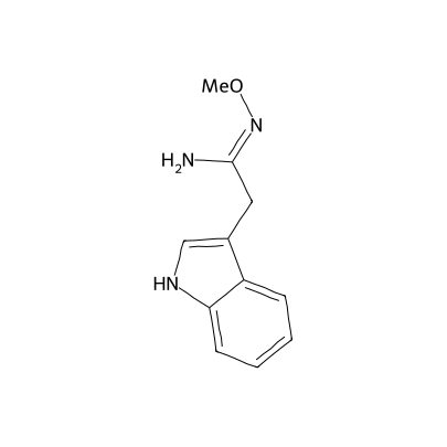 CO/N=C(\N)Cc1c[nH]c2ccccc12